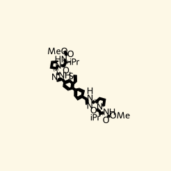 COC(=O)N[C@H](C(=O)N1CCC[C@H]1c1ncc(-c2ccc(-c3ccc(-c4cnc([C@@H]5CCCN5C(=O)[C@@H](NC(=O)OC)C(C)C)[nH]4)c4sccc34)cc2)[nH]1)C(C)C